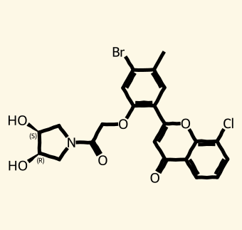 Cc1cc(-c2cc(=O)c3cccc(Cl)c3o2)c(OCC(=O)N2C[C@@H](O)[C@@H](O)C2)cc1Br